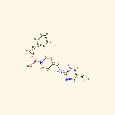 Cc1cnc(NCC2CCN(C(=O)[C@@H]3CC3c3ccccc3)CC2)nc1